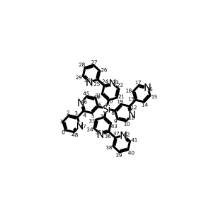 c1ccc(-c2cc([Si](c3ccnc(-c4ccncc4)c3)(c3ccnc(-c4ccccn4)c3)c3ccnc(-c4ccccn4)c3)ccn2)nc1